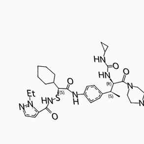 CCn1nccc1C(=O)NS[C@H](C(=O)Nc1ccc([C@H](C)[C@@H](NC(=O)NC2CC2)C(=O)N2CCN(C)CC2)cc1)C1CCCCC1